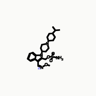 CO/N=C\c1c(COS(N)(=O)=O)n(C2CCN(C3CCC(C(C)C)CC3)CC2)c2ccccc12